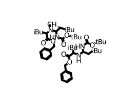 CCC(C)CC(NC(=O)OC(C)(C)C)N(C)C(C(=O)OCc1ccccc1)C(C)CC.CCC(C)CC(NC(=O)OC(C)(C)C)NC(C(=O)OCc1ccccc1)C(C)CC